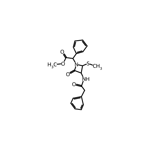 COC(=O)C(c1ccccc1)N1C(=O)C(NC(=O)Cc2ccccc2)C1SC